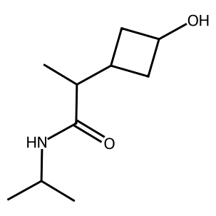 CC(C)NC(=O)C(C)C1CC(O)C1